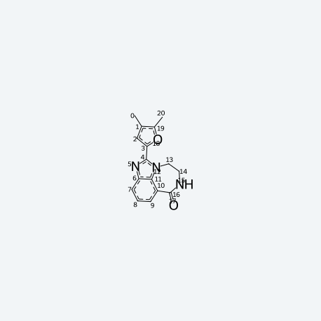 Cc1cc(-c2nc3cccc4c3n2CCNC4=O)oc1C